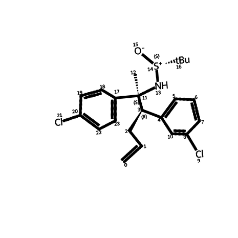 C=CC[C@H](c1cccc(Cl)c1)[C@](C)(N[S@+]([O-])C(C)(C)C)c1ccc(Cl)cc1